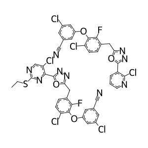 CCSc1ncc(Cl)c(-c2nnc(Cc3ccc(Cl)c(Oc4cc(Cl)cc(C#N)c4)c3F)o2)n1.N#Cc1cc(Cl)cc(Oc2c(Cl)ccc(Cc3nnc(-c4cccnc4Cl)o3)c2F)c1